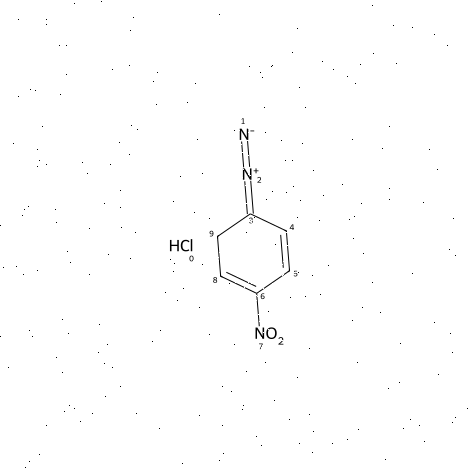 Cl.[N-]=[N+]=C1C=CC([N+](=O)[O-])=CC1